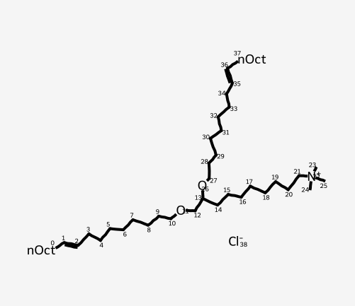 CCCCCCCCC=CCCCCCCCCOCC(CCCCCCCC[N+](C)(C)C)OCCCCCCCCC=CCCCCCCCC.[Cl-]